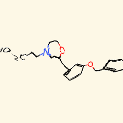 O=C(O)CCN1CCOC(c2cccc(OCc3ccccc3)c2)C1